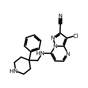 N#Cc1nn2c(NCC3(c4ccccc4)CCNCC3)ccnc2c1Cl